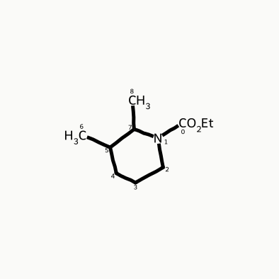 CCOC(=O)N1CCCC(C)C1C